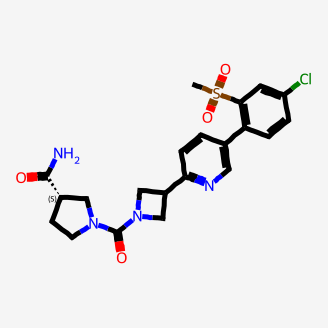 CS(=O)(=O)c1cc(Cl)ccc1-c1ccc(C2CN(C(=O)N3CC[C@H](C(N)=O)C3)C2)nc1